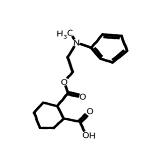 CN(CCOC(=O)C1CCCCC1C(=O)O)c1ccccc1